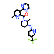 Cc1ccc(-c2ncccn2)c(C(=O)N2CCCC(Nc3ccc(C(F)(F)F)cn3)C2C)n1